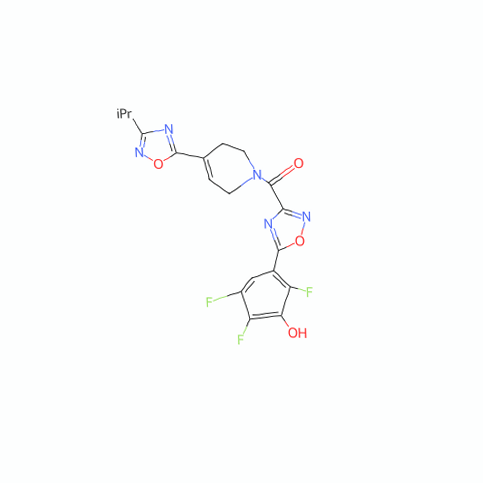 CC(C)c1noc(C2=CCN(C(=O)c3noc(-c4cc(F)c(F)c(O)c4F)n3)CC2)n1